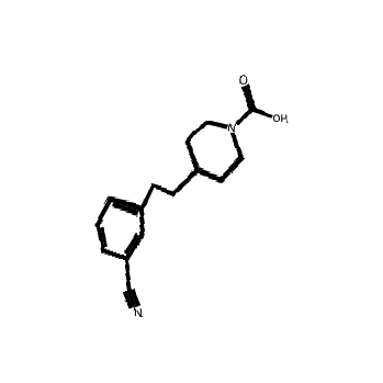 N#Cc1cccc(CCC2CCN(C(=O)O)CC2)c1